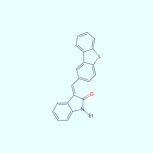 CCN1C(=O)/C(=C\c2ccc3sc4ccccc4c3c2)c2ccccc21